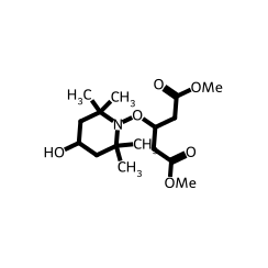 COC(=O)CC(CC(=O)OC)ON1C(C)(C)CC(O)CC1(C)C